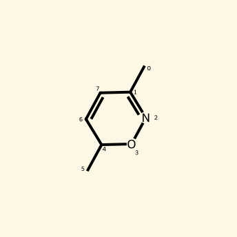 CC1=NOC(C)C=C1